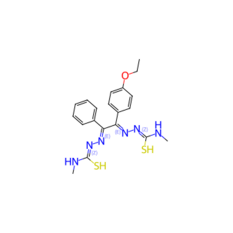 CCOc1ccc(C(=N\N=C(/S)NC)/C(=N/N=C(\S)NC)c2ccccc2)cc1